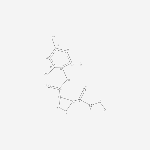 CCOC(=O)C1CCC1C(=O)Cc1c(C)cc(C)cc1C